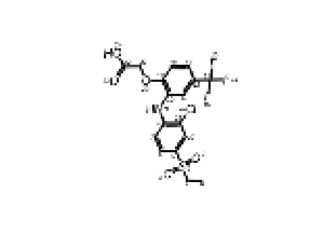 CCS(=O)(=O)c1ccc(Nc2cc(C(F)(F)F)ccc2OCC(=O)O)c(Cl)c1